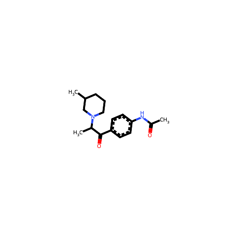 CC(=O)Nc1ccc(C(=O)C(C)N2CCCC(C)C2)cc1